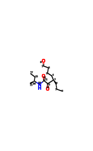 CCC[C@H](CCCC=O)C(=O)C(=O)N[C@@H](C)CC